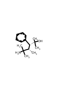 C[C@@H]([C@H](c1ccccc1)C(C)(C)O)C(C)(C)N